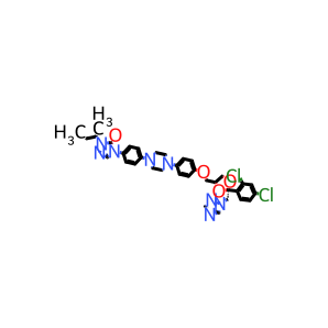 CCC(C)n1ncn(-c2ccc(N3CCN(c4ccc(OCC5CO[C@@](Cn6cncn6)(c6ccc(Cl)cc6Cl)O5)cc4)CC3)cc2)c1=O